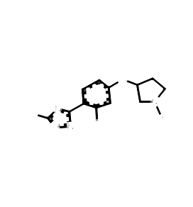 CC(=O)N1CCC(Oc2ccc(-c3noc(C(F)(F)F)n3)c(F)c2)C1